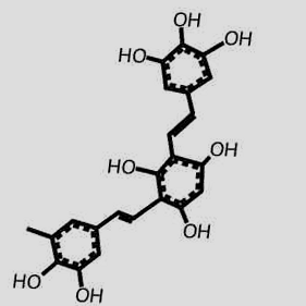 Cc1cc(/C=C/c2c(O)cc(O)c(/C=C/c3cc(O)c(O)c(O)c3)c2O)cc(O)c1O